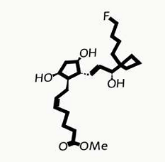 COC(=O)CCC/C=C\C[C@@H]1[C@@H](/C=C/[C@@H](O)C2(CCCCF)CCC2)[C@H](O)C[C@@H]1O